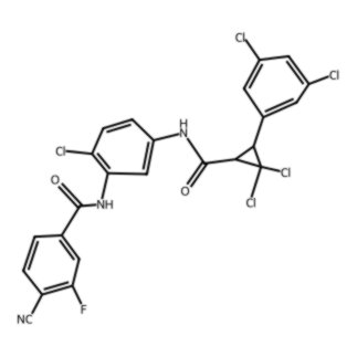 N#Cc1ccc(C(=O)Nc2cc(NC(=O)C3C(c4cc(Cl)cc(Cl)c4)C3(Cl)Cl)ccc2Cl)cc1F